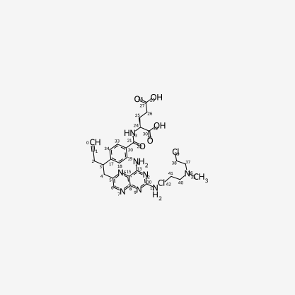 C#CCC(Cc1cnc2nc(N)nc(N)c2n1)c1ccc(C(=O)N[C@@H](CCC(=O)O)C(=O)O)cc1.CN(CCCl)CCCl